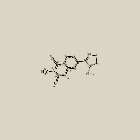 CN1CCN=C1c1ccc2c(=O)n(C)c(=O)[nH]c2c1